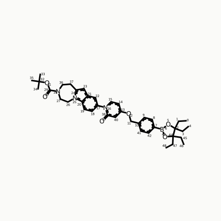 CCC1(CC)OB(c2ccc(COc3ccn(-c4ccc5c(c4)cc4n5CCN(C(=O)OC(C)(C)C)CC4)c(=O)c3)cc2)OC1(CC)CC